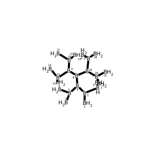 BBB(B)B(B(B)B)B(B(B(B)B)B(B)B)B(B(B)B)B(B)B